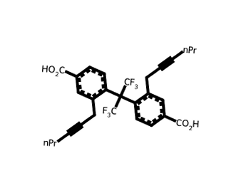 CCCC#CCc1cc(C(=O)O)ccc1C(c1ccc(C(=O)O)cc1CC#CCCC)(C(F)(F)F)C(F)(F)F